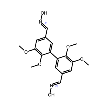 COc1cc(/C=N/O)cc(-c2cc(/C=N/O)cc(OC)c2OC)c1OC